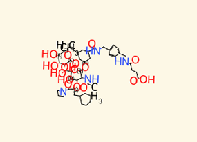 CCC1CC(C(=O)NCc2ccc(CNC(=O)CCC(=O)O)cc2)C[C@@H](O[C@@H]2OC(CO)[C@H](O)C(O[C@@H](CC3CCCCC3)C(=O)N3CCC3)C2NC(C)=O)C1O[C@@H]1OC(C)[C@@H](O)C(O)C1O